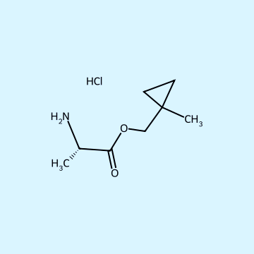 C[C@H](N)C(=O)OCC1(C)CC1.Cl